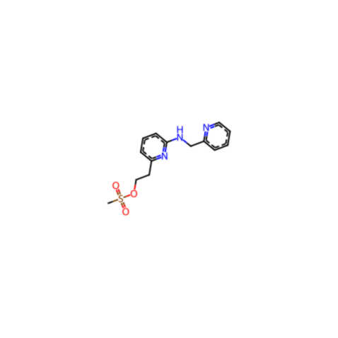 CS(=O)(=O)OCCc1cccc(NCc2ccccn2)n1